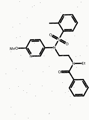 CCN(CCN(c1ccc(OC)nc1)S(=O)(=O)c1ccccc1C)C(=O)c1ccccc1